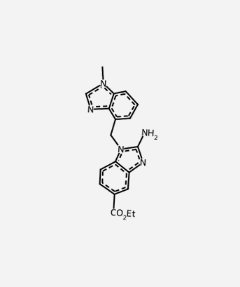 CCOC(=O)c1ccc2c(c1)nc(N)n2Cc1cccc2c1ncn2C